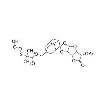 CC(=O)OC1C(=O)OC2C3OC4(OC3OC12)C1CC2CC4CC(COC(=O)C(C)(C)SOOO)(C2)C1